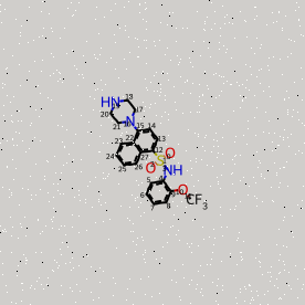 O=S(=O)(Nc1ccccc1OC(F)(F)F)c1ccc(N2CCNCC2)c2ccccc12